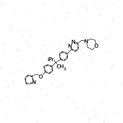 CC(C)C(C)(c1ccc(OCc2ccccn2)cc1)c1ccc(-c2ccc(CN3CCOCC3)nn2)cc1